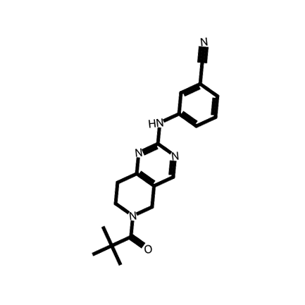 CC(C)(C)C(=O)N1CCc2nc(Nc3cccc(C#N)c3)ncc2C1